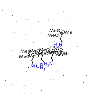 CC(=O)O.CC(=O)O.CC(=O)O.CC(=O)O.CO[Si](CCCN)(OC)OC.CO[Si](CCCN)(OC)OC.CO[Si](CCCN)(OC)OC.CO[Si](CCCN)(OC)OC